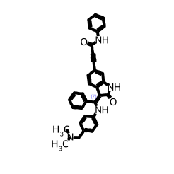 CN(C)Cc1ccc(N/C(=C2\C(=O)Nc3cc(C#CC(=O)Nc4ccccc4)ccc32)c2ccccc2)cc1